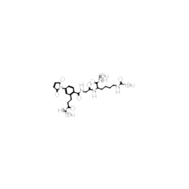 CC(C)(C)NC(=O)CCc1cc(N2C(=O)C=CC2=O)ccc1C(=O)NCC(=O)NC(CCCCNC(=O)C(C)(C)C)C(=O)NC(C)(C)C